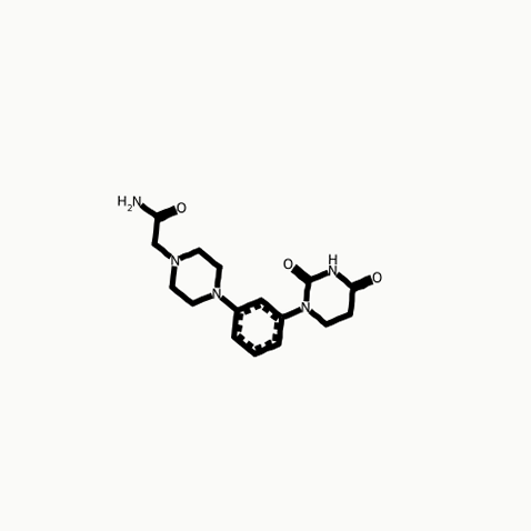 NC(=O)CN1CCN(c2cccc(N3CCC(=O)NC3=O)c2)CC1